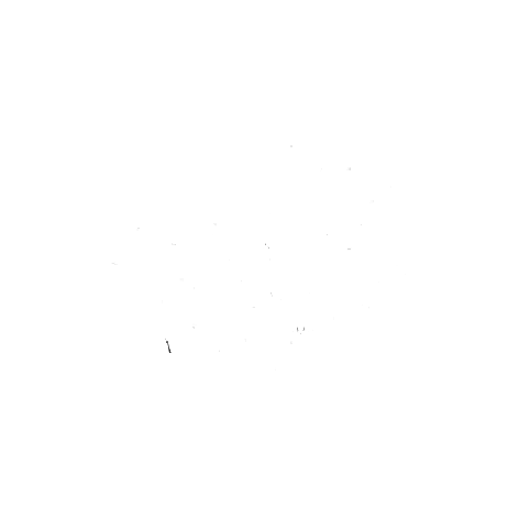 CC[C@](O)(c1cc(F)c([C@](C)(OC)c2ccc(Cl)cc2)c(C(=O)NCc2ccc(Cl)cc2C(=O)O)c1)C1CCOCC1